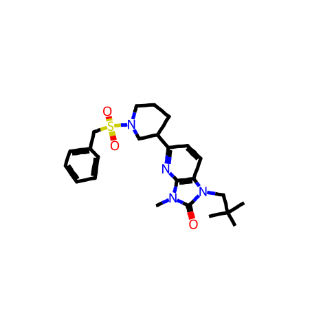 Cn1c(=O)n(CC(C)(C)C)c2ccc(C3CCCN(S(=O)(=O)Cc4ccccc4)C3)nc21